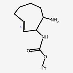 CC(C)OC(=O)NC1/C=C/CCCCC1N